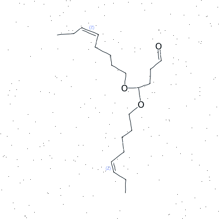 CC/C=C\CCCCOC(CCC=O)OCCCC/C=C\CC